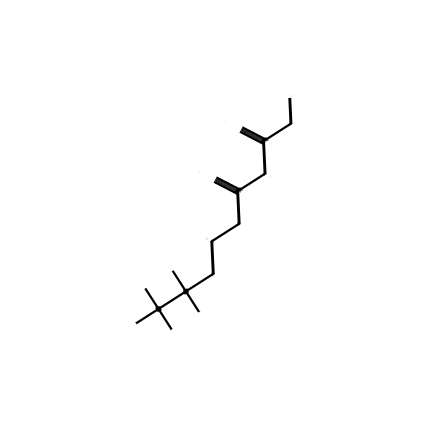 CCC(=O)CC(=O)CCCC(F)(F)C(F)(F)F